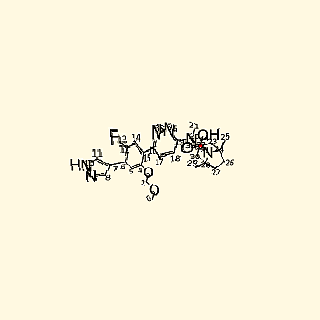 COCOc1cc(-c2cn[nH]c2)c(F)cc1-c1ccc(N(C)[C@@H]2C[C@]3(C)CC[C@](C)(C2)N3C(=O)O)nn1